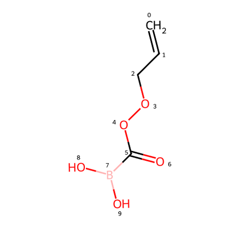 C=CCOOC(=O)B(O)O